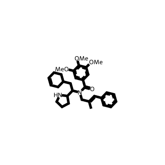 COc1cc(C(=O)N(CC(C)=Cc2ccccc2)C(CC2CC=CCC2)C2CCCN2)cc(OC)c1OC